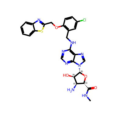 CNC(=O)[C@H]1O[C@@H](n2cnc3c(NCc4cc(Cl)ccc4OCc4nc5ccccc5s4)ncnc32)[C@H](O)[C@@H]1N